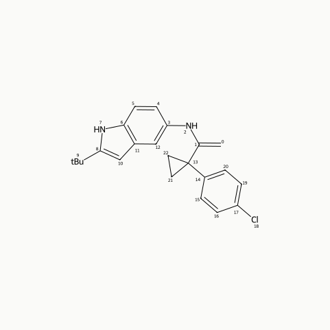 C=C(Nc1ccc2[nH]c(C(C)(C)C)cc2c1)C1(c2ccc(Cl)cc2)CC1